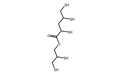 O=C(OCC(S)CS)C(S)CC(S)CS